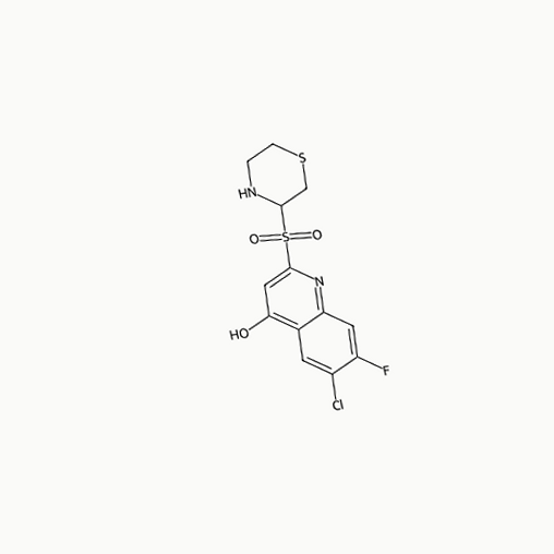 O=S(=O)(c1cc(O)c2cc(Cl)c(F)cc2n1)C1CSCCN1